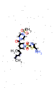 C=C(/C=C\C=C/C)[C@@H]1C[C@@H](C(=O)N2CCN(S(C)(=O)=O)CC2)CN(S(=O)(=O)c2ncc(CN)s2)C1